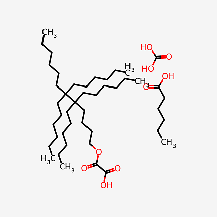 CCCCCC(=O)O.CCCCCCC(CCCCCC)(CCCCCC)C(CCCCCC)(CCCCCC)CCCCOC(=O)C(=O)O.O=C(O)O